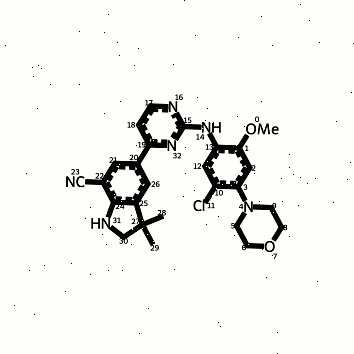 COc1cc(N2CCOCC2)c(Cl)cc1Nc1nccc(-c2cc(C#N)c3c(c2)C(C)(C)CN3)n1